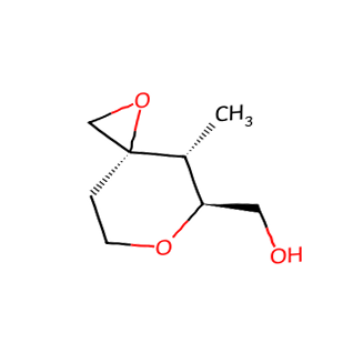 C[C@@H]1[C@@H](CO)OCC[C@@]12CO2